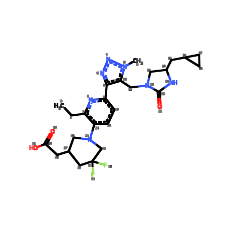 CCc1nc(-c2nnn(C)c2CN2CC(CC3CC3)NC2=O)ccc1N1CC(CC(=O)O)CC(F)(F)C1